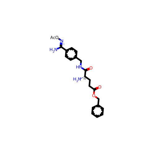 CC(=O)O/N=C(\N)c1ccc(CNC(=O)[C@@H](N)CCC(=O)OCc2ccccc2)cc1